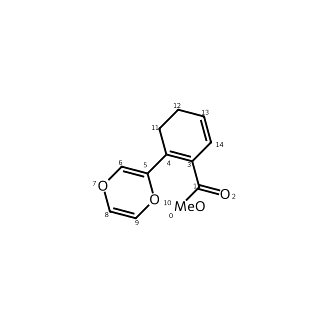 COC(=O)C1=C(C2=COC=CO2)CCC=C1